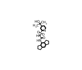 CC(C)(O)c1ccnc(S(=O)(=O)NC(=O)Nc2c3c(cc4c2CCC4)CCC3)c1